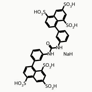 O=C(Nc1cccc(-c2ccc(S(=O)(=O)O)c3cc(S(=O)(=O)O)cc(S(=O)(=O)O)c23)c1)Nc1cccc(-c2ccc(S(=O)(=O)O)c3cc(S(=O)(=O)O)cc(S(=O)(=O)O)c23)c1.[NaH]